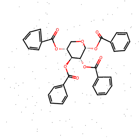 O=C(O[C@H]1OC[C@@H](OC(=O)c2ccccc2)[C@H](OC(=O)c2ccccc2)[C@H]1OC(=O)c1ccccc1)c1ccccc1